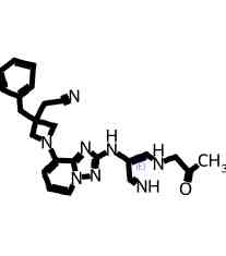 CC(=O)CN/C=C(\C=N)Nc1nc2c(N3CC(CC#N)(Cc4ccccc4)C3)cccn2n1